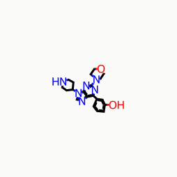 Oc1cccc(-c2nc(N3CCOCC3)nc3c2ncn3C2CCNCC2)c1